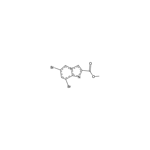 COC(=O)c1cn2cc(Br)cc(Br)c2n1